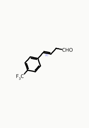 O=CC/C=C/c1ccc(C(F)(F)F)cc1